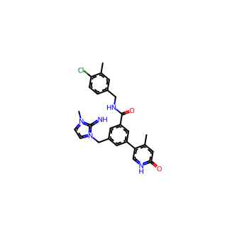 Cc1cc(CNC(=O)c2cc(Cn3ccn(C)c3=N)cc(-c3c[nH]c(=O)cc3C)c2)ccc1Cl